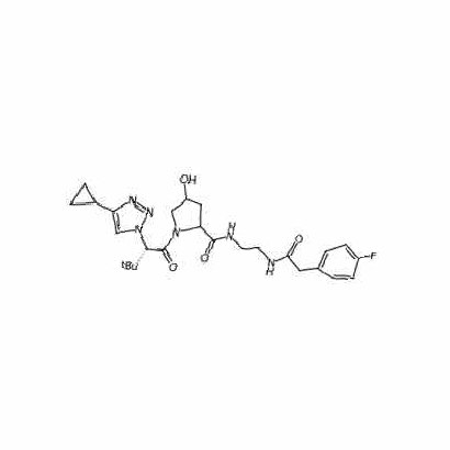 CC(C)(C)[C@@H](C(=O)N1CC(O)CC1C(=O)NCCNC(=O)Cc1ccc(F)cc1)n1cc(C2CC2)nn1